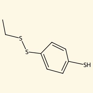 CCSSc1ccc(S)cc1